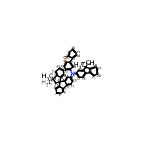 CC1(C)CC2(c3ccccc3-c3ccc(N(c4ccc5c(c4)C(C)(C)c4ccccc4-5)c4ccc5sc6ccccc6c5c4)cc32)c2ccccc21